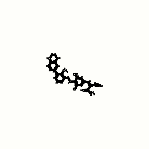 Cc1c(COc2c(Cl)cc(C=C(C#N)C(N)=O)cc2Cl)cccc1-c1ccc2c(c1)OCCO2